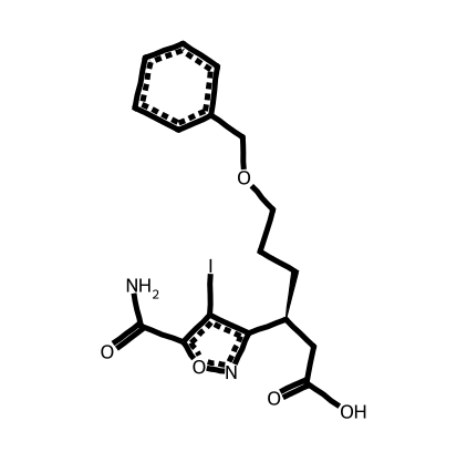 NC(=O)c1onc([C@@H](CCCOCc2ccccc2)CC(=O)O)c1I